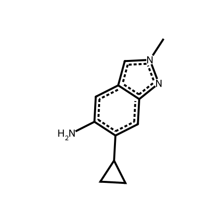 Cn1cc2cc(N)c(C3CC3)cc2n1